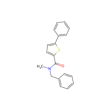 CN(Cc1ccccc1)C(=O)c1ccc(-c2ccccc2)s1